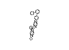 O=C(CN1CCN(c2ccc(-c3ccccc3Cl)cc2)CC1)N1CCN(C2CCC2)CC1